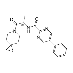 C[C@H](NC(=O)c1ncc(-c2ccccc2)cn1)C(=O)N1CCC2(CC1)CC2